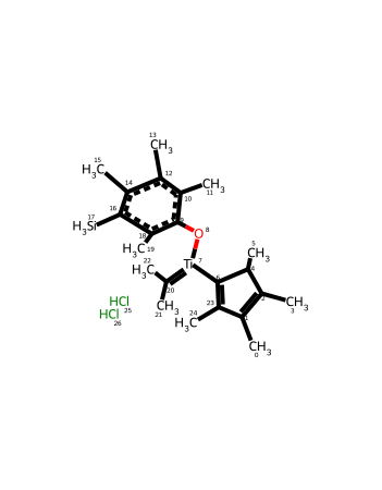 CC1=C(C)C(C)[C]([Ti]([O]c2c(C)c(C)c(C)c([SiH3])c2C)=[C](C)C)=C1C.Cl.Cl